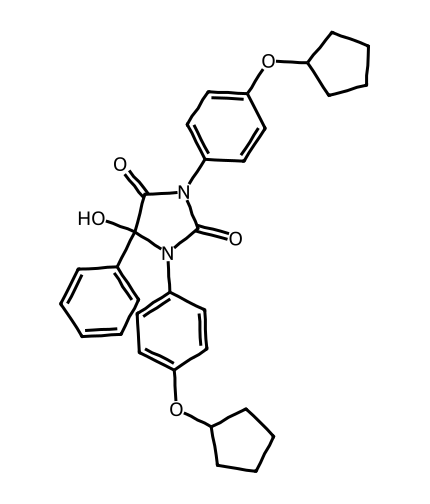 O=C1N(c2ccc(OC3CCCC3)cc2)C(=O)C(O)(c2ccccc2)N1c1ccc(OC2CCCC2)cc1